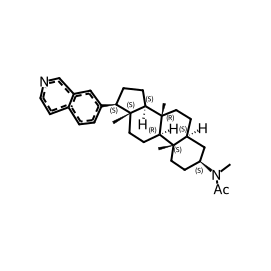 CC(=O)N(C)[C@H]1CC[C@@]2(C)[C@@H](CC[C@]3(C)[C@@H]2CC[C@@]2(C)[C@H]3CC[C@@H]2c2ccc3ccncc3c2)C1